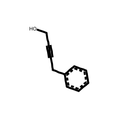 OCC#C[CH]c1ccccc1